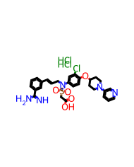 Cl.Cl.N=C(N)c1cccc(/C=C/CN(c2ccc(OC3CCN(c4cccnc4)CC3)c(Cl)c2)S(=O)(=O)CC(=O)O)c1